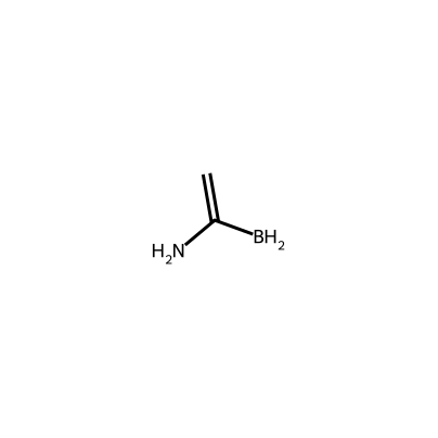 BC(=C)N